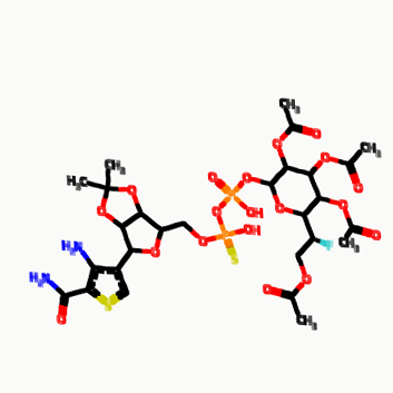 CC(=O)OC[C@H](F)C1OC(OP(=O)(O)OP(O)(=S)OCC2OC(c3csc(C(N)=O)c3N)C3OC(C)(C)OC23)C(OC(C)=O)C(OC(C)=O)C1OC(C)=O